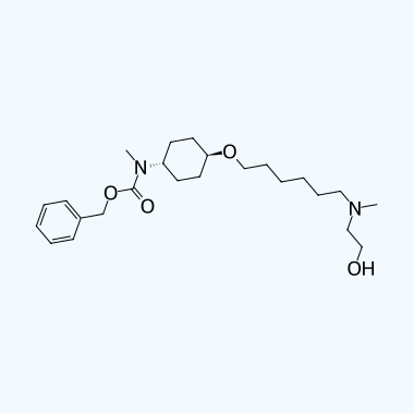 CN(CCO)CCCCCCO[C@H]1CC[C@H](N(C)C(=O)OCc2ccccc2)CC1